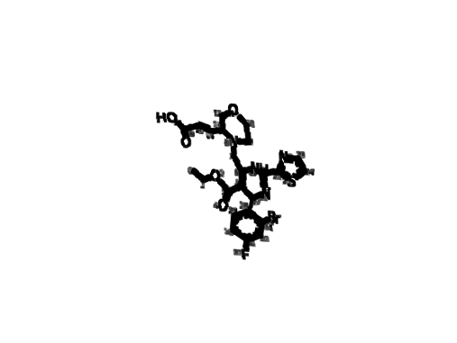 CCOC(=O)C1=C(CN2CCOCC2/C=C/C(=O)O)NC(c2nccs2)=N[C@H]1c1ccc(F)cc1Br